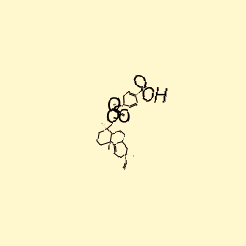 C=C[C@@]1(C)CC=C2C(CCC3[C@](C)(COS(=O)(=O)c4ccc(C(=O)O)cc4)CCC[C@@]23C)C1